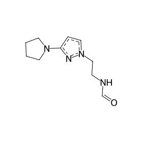 O=CNCCn1ccc(N2CCCC2)n1